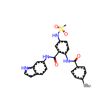 CC(C)(C)c1ccc(C(=O)Nc2ccc(NS(C)(=O)=O)cc2C(=O)Nc2ccc3cc[nH]c3c2)cc1